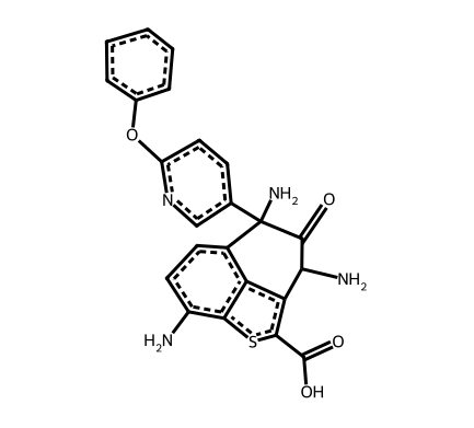 Nc1ccc2c3c(c(C(=O)O)sc13)C(N)C(=O)C2(N)c1ccc(Oc2ccccc2)nc1